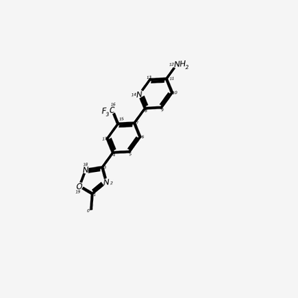 Cc1nc(-c2ccc(-c3ccc(N)cn3)c(C(F)(F)F)c2)no1